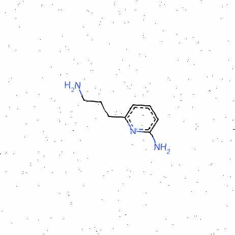 NCCCc1cccc(N)n1